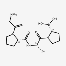 CNCC(=O)N1CCC[C@H]1C(=O)N[C@H](C(=O)N1CCC[C@H]1B(O)O)C(C)(C)C